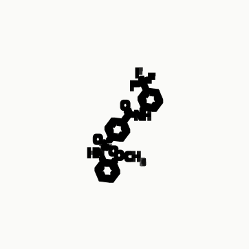 COc1ccccc1NS(=O)(=O)c1ccc(C(=O)Nc2cccc(C(F)(F)F)c2)cc1